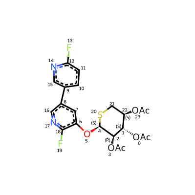 CC(=O)O[C@@H]1[C@@H](OC(C)=O)[C@@H](Oc2cc(-c3ccc(F)nc3)cnc2F)SC[C@H]1OC(C)=O